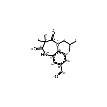 CC(C)CN1C(=O)C(C)(C)C(=O)Nc2cc(C=O)ccc21